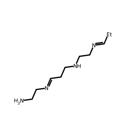 CCC=NCCNCCC=NCCN